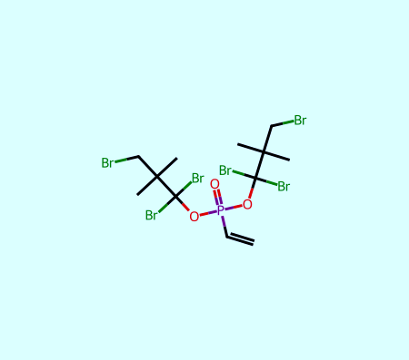 C=CP(=O)(OC(Br)(Br)C(C)(C)CBr)OC(Br)(Br)C(C)(C)CBr